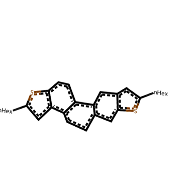 CCCCCCc1cc2cc3c(ccc4c5cc(CCCCCC)sc5ccc34)cc2s1